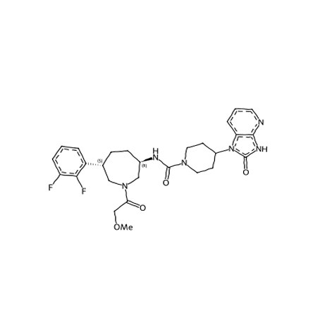 COCC(=O)N1C[C@H](NC(=O)N2CCC(n3c(=O)[nH]c4ncccc43)CC2)CC[C@@H](c2cccc(F)c2F)C1